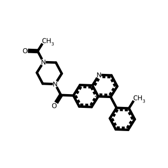 CC(=O)N1CCN(C(=O)c2ccc3c(-c4ccccc4C)ccnc3c2)CC1